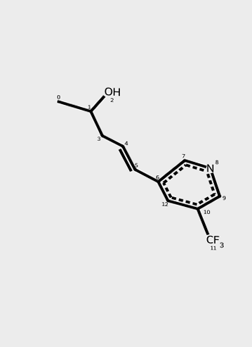 CC(O)C/C=C/c1cncc(C(F)(F)F)c1